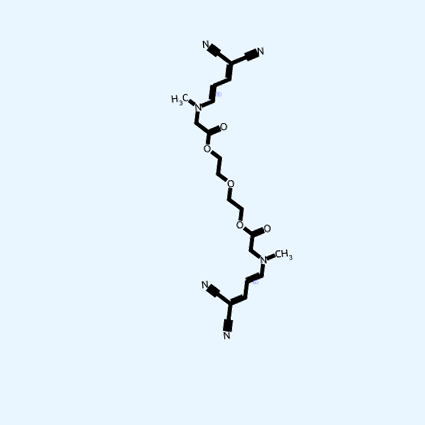 CN(/C=C/C=C(C#N)C#N)CC(=O)OCCOCCOC(=O)CN(C)/C=C/C=C(C#N)C#N